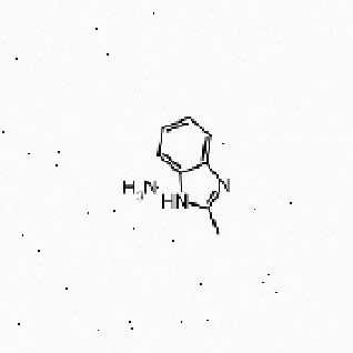 Cc1nc2ccccc2[nH]1.N